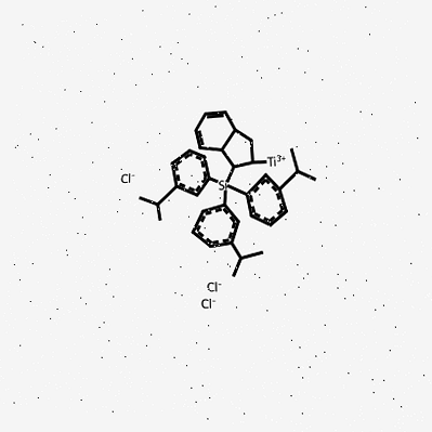 CC(C)c1cccc([Si](c2cccc(C(C)C)c2)(c2cccc(C(C)C)c2)C2[CH]([Ti+3])CC3C=CC=CC32)c1.[Cl-].[Cl-].[Cl-]